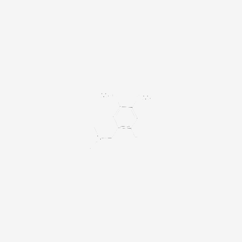 [CH2-][NH+](C)Cc1cc(OC)c(OC)cc1F